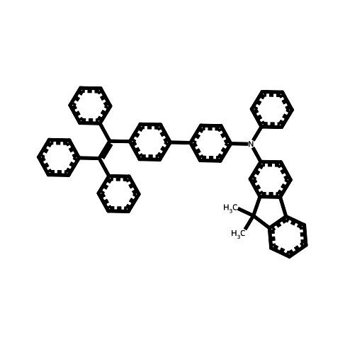 CC1(C)c2ccccc2-c2ccc(N(c3ccccc3)c3ccc(-c4ccc(C(=C(c5ccccc5)c5ccccc5)c5ccccc5)cc4)cc3)cc21